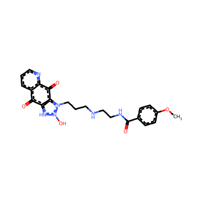 COc1ccc(C(=O)NCCNCCCn2c3c(=O)c4ncccc4c(=O)c=3[nH]n2O)cc1